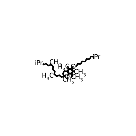 Cc1c(C)c2c(c(C)c1OCCCCCCCCC(C)C)CCC(C)(CCCC(C)CCCC(C)CCCC(C)C)O2